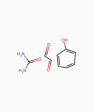 NC(N)=O.O=CC=O.Oc1ccccc1